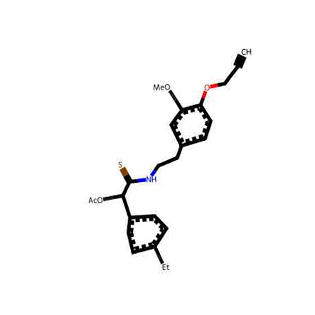 C#CCOc1ccc(CCNC(=S)C(OC(C)=O)c2ccc(CC)cc2)cc1OC